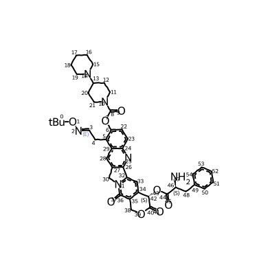 CC(C)(C)O/N=C/Cc1c(OC(=O)N2CCC(N3CCCCC3)CC2)ccc2nc3c(cc12)Cn1c-3cc2c(c1=O)COC(=O)[C@H]2OC(=O)[C@@H](N)Cc1ccccc1